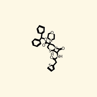 O=C(Cc1cccs1)NC1C(=O)N2CC(C(=O)OC(c3ccccc3)c3ccccc3)(N3CCOCC3)CS[C@H]12